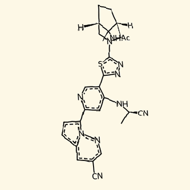 CC(=O)NC1(C)[C@@H]2CC[C@H]1CN(c1nnc(-c3cnc(-c4ccc5cc(C#N)cnn45)cc3N[C@H](C)C#N)s1)C2